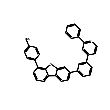 Nc1ccc(-c2cccc3c2sc2cc(-c4cccc(-c5ccnc(-c6ccccc6)c5)c4)ccc23)cc1